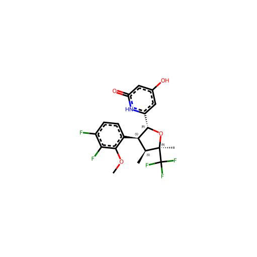 COc1c([C@H]2[C@H](c3cc(O)cc(=O)[nH]3)O[C@@](C)(C(F)(F)F)[C@H]2C)ccc(F)c1F